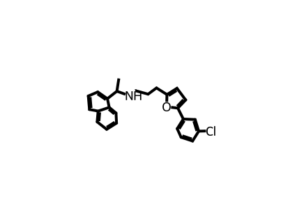 CC(NCCCc1ccc(-c2cccc(Cl)c2)o1)c1cccc2ccccc12